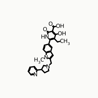 CCc1c(-c2ccc3c(c2)cc(CN2CCC(c4ccccn4)C2)n3C)[nH]c(=O)c(C(=O)O)c1O